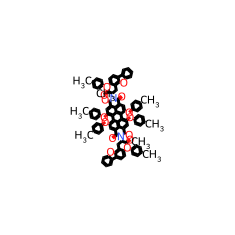 Cc1ccc(Oc2cc3c4c(cc(Oc5ccc(C)cc5)c5c6c(Oc7ccc(C)cc7)cc7c8c(cc(Oc9ccc(C)cc9)c(c2c45)c86)C(=O)N(C(Cc2cccc4c2oc2ccccc24)C(=O)Oc2ccc(C)cc2C)C7=O)C(=O)N(C(Cc2cccc4c2oc2ccccc24)C(=O)Oc2ccc(C)cc2C)C3=O)cc1